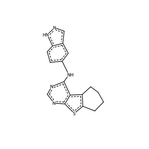 c1nc(Nc2ccc3[nH]ncc3c2)c2c3c(sc2n1)CCCC3